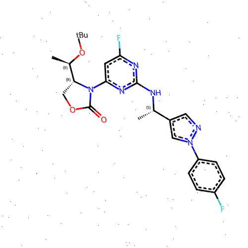 C[C@H](Nc1nc(F)cc(N2C(=O)OC[C@@H]2[C@@H](C)OC(C)(C)C)n1)c1cnn(-c2ccc(F)cc2)c1